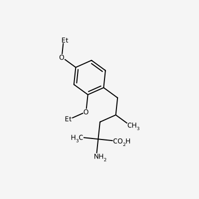 CCOc1ccc(CC(C)CC(C)(N)C(=O)O)c(OCC)c1